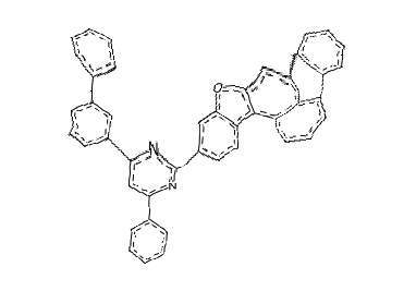 c1ccc(-c2cccc(-c3cc(-c4ccccc4)nc(-c4ccc5c(c4)oc4cc6c7c(cccc7c45)-c4ccccc4-6)n3)c2)cc1